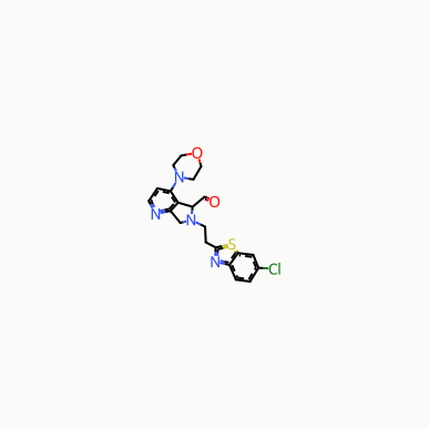 O=CC1c2c(N3CCOCC3)ccnc2CN1CCc1nc2ccc(Cl)cc2s1